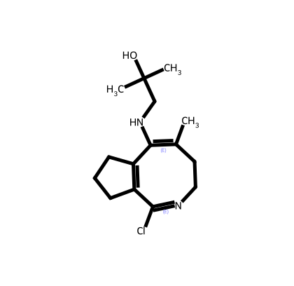 C/C1=C(\NCC(C)(C)O)C2=C(CCC2)/C(Cl)=N\CC1